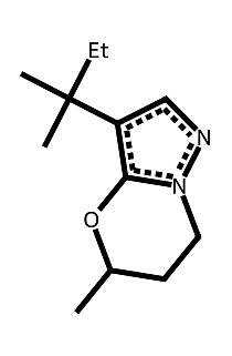 CCC(C)(C)c1cnn2c1OC(C)CC2